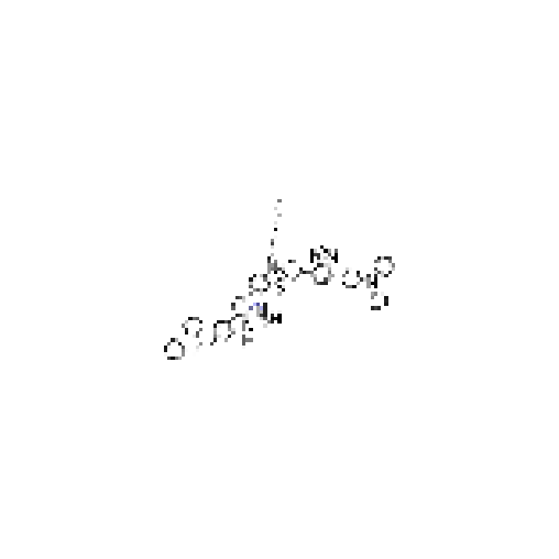 CCCCCCCCN1c2ccc(C3=CC=C(c4ccc(CC(Cc5ccccc5)c5ccccc5)cc4)C(=N)/C3=N\S)cc2Sc2cc(-c3ccc(-c4ccc(N(c5ccccc5)c5ccccc5)cc4)c4nsnc34)ccc21